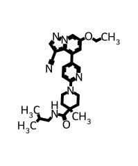 CCOc1cc(-c2ccc(N3CCC(C)(C(=O)NCC(C)C)CC3)nc2)c2c(C#N)cnn2c1